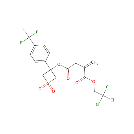 C=C(CC(=O)OC1(c2ccc(C(F)(F)F)cc2)CS(=O)(=O)C1)C(=O)OCC(Cl)(Cl)Cl